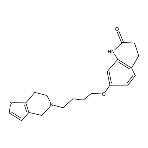 O=C1CCc2ccc(OCCCCN3CCc4sccc4C3)cc2N1